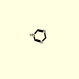 [CH]1N=CNC=N1